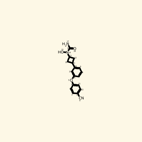 N#Cc1ccc(Oc2cccc(C3CC(N(O)C(N)=O)C3)c2)cc1